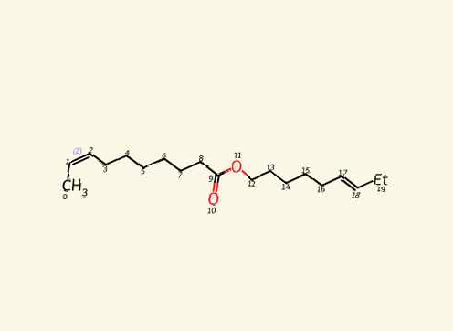 C/C=C\CCCCCCC(=O)OCCCCCC=CCC